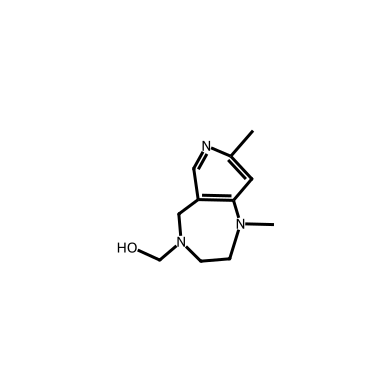 Cc1cc2c(cn1)CN(CO)CCN2C